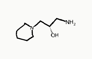 NC[C@H](O)CN1CCCCC1